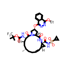 CCOc1nnc(O[C@@H]2C[C@H]3C(=O)N[C@]4(C(=O)NS(=O)(=O)C5CC5)C[C@H]4/C=C\CC[C@H](C)C[C@@H](CC)[C@H](NC(=O)OC(C)(C)C(F)(F)F)C(=O)N3C2)c2ccccc12